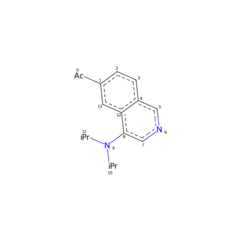 CC(=O)c1ccc2cncc(N(C(C)C)C(C)C)c2c1